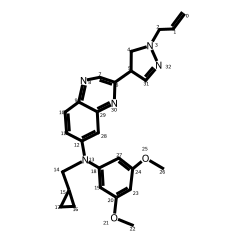 C=CCN1CC(c2cnc3ccc(N(CC4CC4)c4cc(OC)cc(OC)c4)cc3n2)C=N1